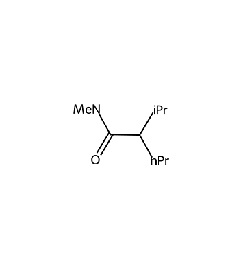 CCCC(C(=O)NC)C(C)C